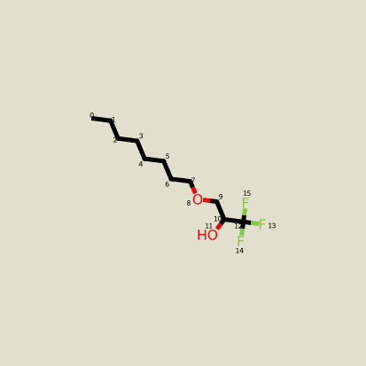 CCCCCCCCOCC(O)C(F)(F)F